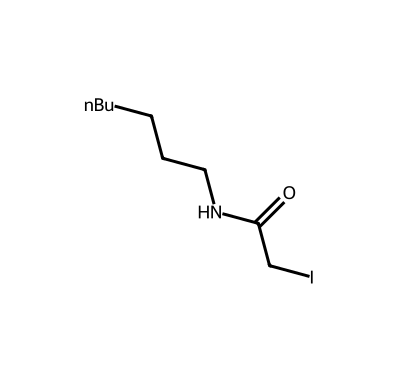 CCCCCCCNC(=O)CI